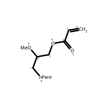 C=CC(=O)OCC(CCCCCC)OC